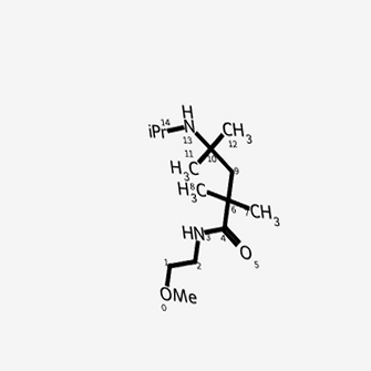 COCCNC(=O)C(C)(C)CC(C)(C)NC(C)C